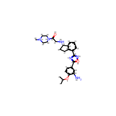 CC(C)Oc1ccc(-c2nc(-c3cccc4c3CC[C@@H]4NCC(=O)N3CCN(C)CC3)no2)cc1N